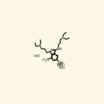 CCN(CC)CCCNc1nn(CCCN(CC)CC)c2c(N)cc(N)cc12.Cl.Cl.Cl.Cl